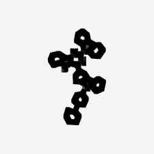 c1ccc(-c2ccc(-n3c4ccccc4c4cc(-c5nc(-n6c7ccccc7c7ccccc76)nc6c5sc5ccccc56)ccc43)cc2)cc1